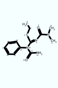 CCSC(=NC(=O)N(C)C)N(C(N)=O)c1ccccc1